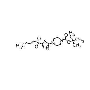 CCCCS(=O)(=O)c1cnc(N2CCN(C(=O)OC(C)(C)C)CC2)s1